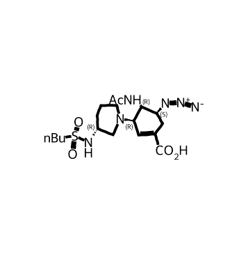 CCCCS(=O)(=O)N[C@@H]1CCCN([C@@H]2C=C(C(=O)O)C[C@H](N=[N+]=[N-])[C@@H]2NC(C)=O)C1